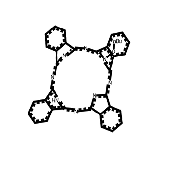 CCCCOn1c2nc3nc(nc4[nH]c(nc5nc(nc1c1ccccc12)-c1ccccc1-5)c1ccccc41)-c1ccccc1-3